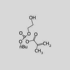 C=C(C)C(=O)OP(=O)(OCCO)OCCCC